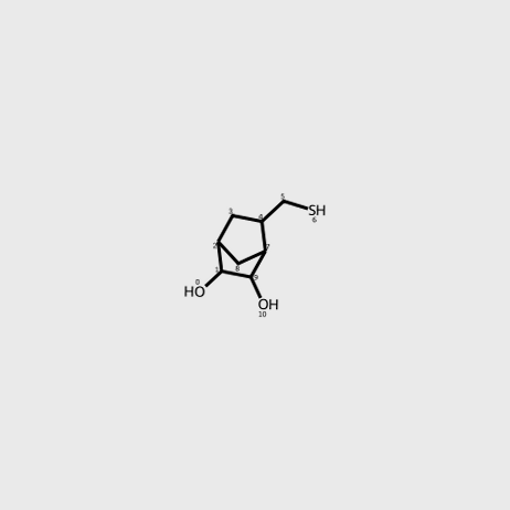 OC1C2CC(CS)C(C2)C1O